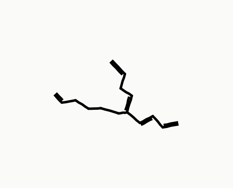 C=CC=CC(=CCC=C)CCCCC=C